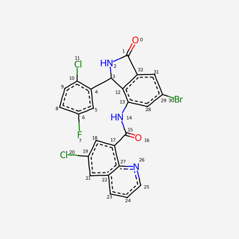 O=C1NC(c2cc(F)ccc2Cl)c2c(NC(=O)c3cc(Cl)cc4cccnc34)cc(Br)cc21